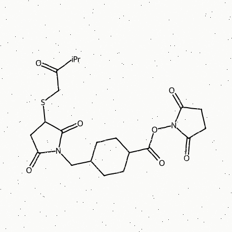 CC(C)C(=O)CSC1CC(=O)N(CC2CCC(C(=O)ON3C(=O)CCC3=O)CC2)C1=O